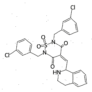 O=C1C(=CC2NCCc3ccccc32)C(=O)N(Cc2cccc(Cl)c2)S(=O)(=O)N1Cc1cccc(Cl)c1